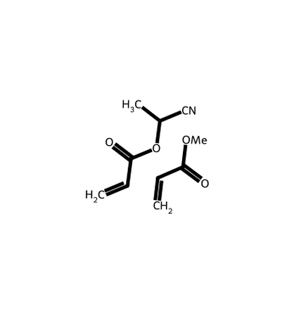 C=CC(=O)OC.C=CC(=O)OC(C)C#N